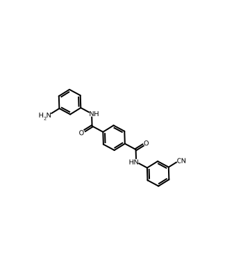 N#Cc1cccc(NC(=O)c2ccc(C(=O)Nc3cccc(N)c3)cc2)c1